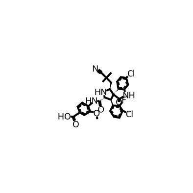 COc1cc(C(=O)O)ccc1NC(=O)[C@@H]1N[C@@H](CC(C)(C)C#N)[C@@]2(C(=O)Nc3cc(Cl)ccc32)[C@H]1c1cccc(Cl)c1F